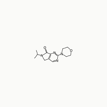 CC(C)N1Cc2cnc(N3CCOCC3)nc2C1=O